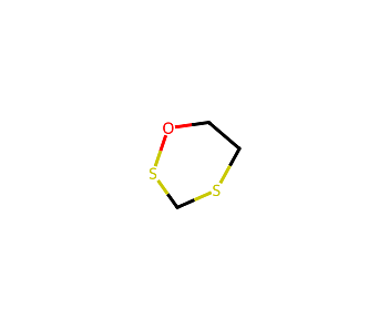 C1CSCSO1